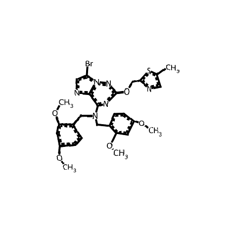 COc1ccc(CN(Cc2ccc(OC)cc2OC)c2nc(OCc3ncc(C)s3)nn3c(Br)cnc23)c(OC)c1